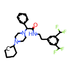 O=C(NCCc1cc(C(F)F)cc(C(F)F)c1)C(c1ccccc1)N1CCN(C2CCCCC2)CC1